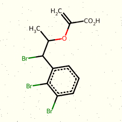 C=C(OC(C)C(Br)c1cccc(Br)c1Br)C(=O)O